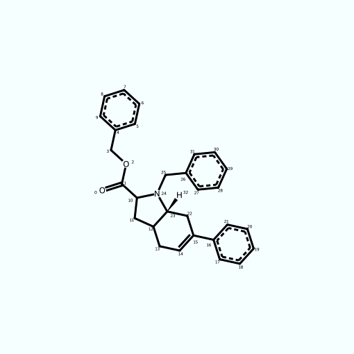 O=C(OCc1ccccc1)C1CC2CC=C(c3ccccc3)C[C@H]2N1Cc1ccccc1